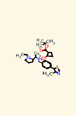 C=CN1CCCC1C(=C)NCc1ccc(-c2scnc2C)cc1OC1CCC1C(=O)OC(C)(C)C